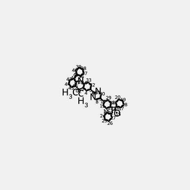 CC1(C)c2cc(-c3ncc(-c4ccc(P(=O)(c5ccccc5)c5ccccc5)cc4)cn3)ccc2-n2c3ccccc3c3cccc1c32